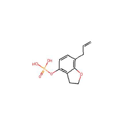 C=CCc1ccc(OP(=O)(O)O)c2c1OCC2